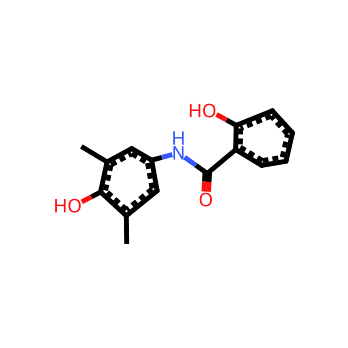 Cc1cc(NC(=O)c2ccccc2O)cc(C)c1O